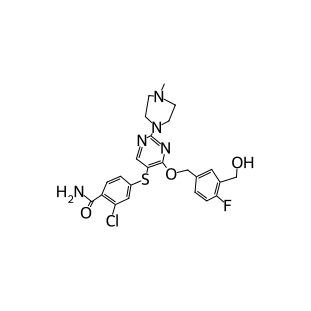 CN1CCN(c2ncc(Sc3ccc(C(N)=O)c(Cl)c3)c(OCc3ccc(F)c(CO)c3)n2)CC1